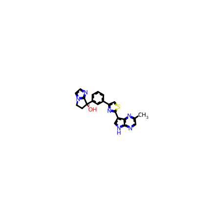 Cc1cnc2[nH]cc(-c3nc(-c4cccc([C@]5(O)CCn6ccnc65)c4)cs3)c2n1